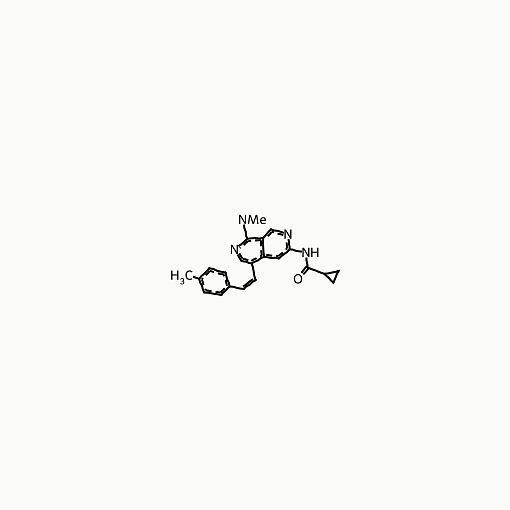 CNc1ncc(/C=C\c2ccc(C)cc2)c2cc(NC(=O)C3CC3)ncc12